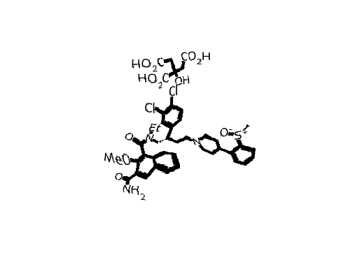 CCN(C[C@@H](CCN1CCC(c2ccccc2[S@+](C)[O-])CC1)c1ccc(Cl)c(Cl)c1)C(=O)c1c(OC)c(C(N)=O)cc2ccccc12.O=C(O)CC(O)(CC(=O)O)C(=O)O